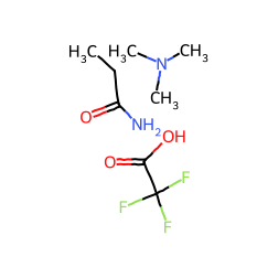 CCC(N)=O.CN(C)C.O=C(O)C(F)(F)F